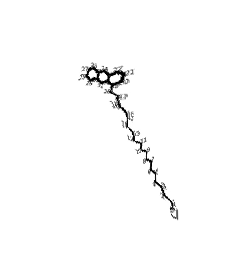 ClCCCCCCCCCCCCCCCCCCc1cccc2cc3ccccc3cc12